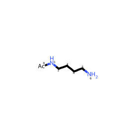 CC(=O)NCCCCN